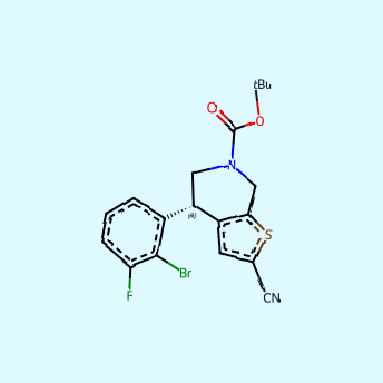 CC(C)(C)OC(=O)N1Cc2sc(C#N)cc2[C@H](c2cccc(F)c2Br)C1